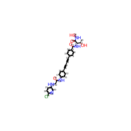 C[C@@H](O)[C@H](NC(=O)c1ccc(C#CC#Cc2ccc(NC(=O)CNc3ccc(Cl)nc3)cc2)cc1)C(=O)NO